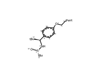 CCCC(C)COc1ccc([C@@H](N[S@@+]([O-])C(C)(C)C)C(C)(C)C)cc1